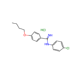 CCCCOc1ccc(C(=N)Nc2ccc(Cl)cc2)cc1.Cl